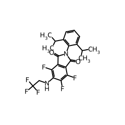 CC(C)c1cccc(C(C)C)c1N1C(=O)c2c(F)c(F)c(NCC(F)(F)F)c(F)c2C1=O